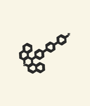 Fc1ccc(-c2ccc(-c3ccc(C4c5c(ccc6ccccc56)Sc5ccc6ccccc6c54)cc3)cc2)cc1